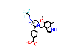 COc1cc(C)c2[nH]ccc2c1CN1CC[C@H](NCC(F)(F)F)C[C@H]1c1ccc(C(=O)O)cc1